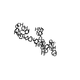 COc1ccc(CN2CCN(C3CC4(CCN(c5ccc(C(=O)NS(=O)(=O)c6cc([N+](=O)[O-])c(NCC7(F)CCOCC7)c7c6OC(F)(F)O7)c(Oc6cnc7[nH]ccc7c6)c5)CC4)C3)C(c3ccccc3C(C)C)C2)cc1